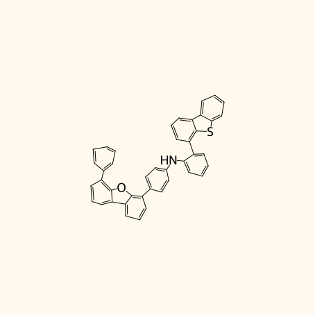 c1ccc(-c2cccc3c2oc2c(-c4ccc(Nc5ccccc5-c5cccc6c5sc5ccccc56)cc4)cccc23)cc1